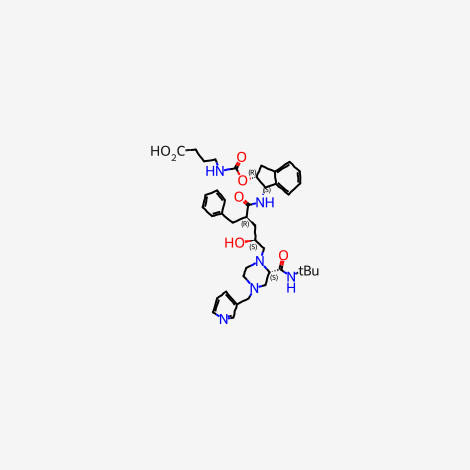 CC(C)(C)NC(=O)[C@@H]1CN(Cc2cccnc2)CCN1C[C@@H](O)C[C@@H](Cc1ccccc1)C(=O)N[C@H]1c2ccccc2C[C@H]1OC(=O)NCCCC(=O)O